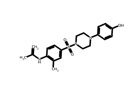 C=C(C)Nc1ccc(S(=O)(=O)N2CCN(c3ccc(O)cc3)CC2)cc1C